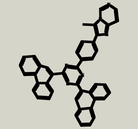 Cc1c(-c2ccc(-c3nc(-c4cc5ccccc5c5ccccc45)nc(-c4cc5ccccc5c5ccccc45)n3)cc2)nc2ccncn12